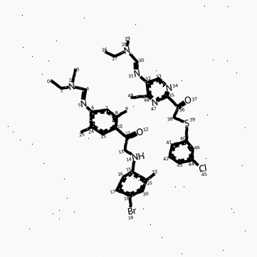 CCN(C)C=Nc1cc(C)c(C(=O)CNc2ccc(Br)cc2C)cc1C.CCN(C)C=Nc1cnc(C(=O)CSc2cccc(Cl)c2)nc1C